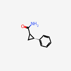 NC(=O)C1C[C@H]1c1ccccc1